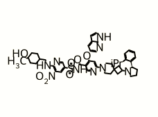 CC(C)c1ccccc1[C@H]1CCCN1C1CC2(CCN(c3cc(Oc4cnc5[nH]ccc5c4)c(C(=O)NS(=O)(=O)c4cnc(NCC5CCC(C)(O)CC5)c([N+](=O)[O-])c4)cn3)CC2)C1